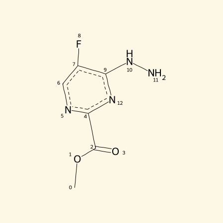 COC(=O)c1ncc(F)c(NN)n1